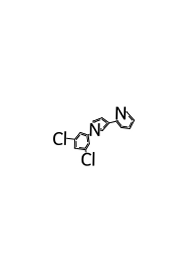 Clc1cc(Cl)cc(-n2ccc(-c3ccccn3)c2)c1